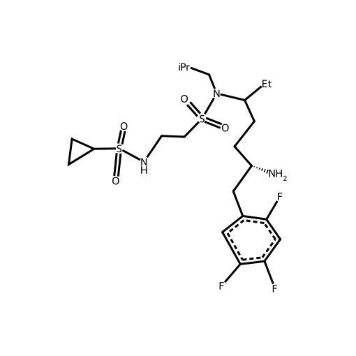 CCC(CC[C@H](N)Cc1cc(F)c(F)cc1F)N(CC(C)C)S(=O)(=O)CCNS(=O)(=O)C1CC1